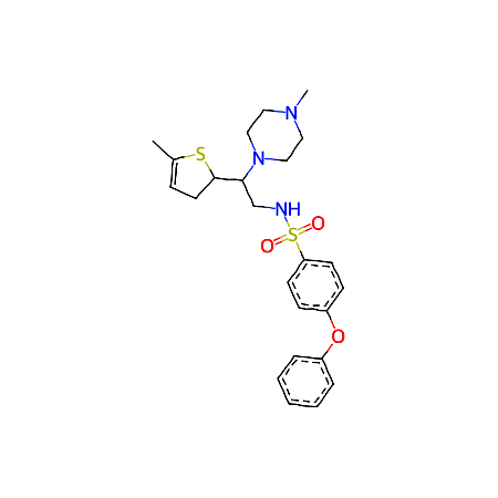 CC1=CCC(C(CNS(=O)(=O)c2ccc(Oc3ccccc3)cc2)N2CCN(C)CC2)S1